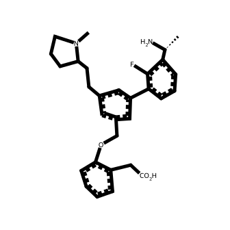 C[C@@H](N)c1cccc(-c2cc(CCC3CCCN3C)cc(COc3ccccc3CC(=O)O)c2)c1F